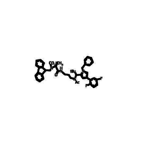 CC(=O)N(CCCNC(=O)C(C)N(CC1c2ccccc2-c2ccccc21)C(=O)O)C(c1cc(-c2cc(F)ccc2F)cn1Cc1ccccc1)C(C)(C)C